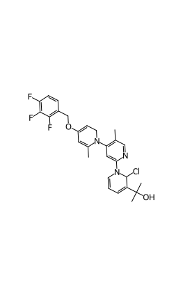 CC1=CC(OCc2ccc(F)c(F)c2F)=CCN1c1cc(N2C=CC=C(C(C)(C)O)C2Cl)ncc1C